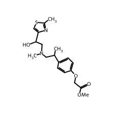 COC(=O)COc1ccc(C(C)CN(C)CC(O)c2csc(C)n2)cc1